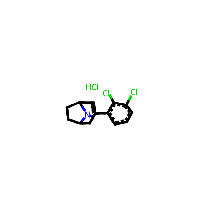 CN1C2C=C(c3cccc(Cl)c3Cl)CC1CC2.Cl